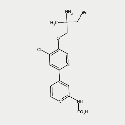 CC(C)CC(C)(N)COc1cnc(-c2ccnc(NC(=O)O)c2)cc1Cl